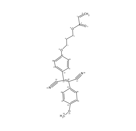 C=CC(=O)OCCCOc1ccc(/C(C#N)=C(\C#N)c2ccc(OC)cc2)cc1